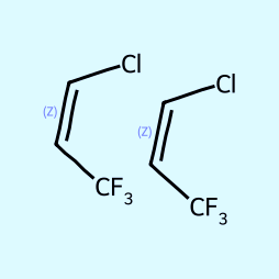 FC(F)(F)/C=C\Cl.FC(F)(F)/C=C\Cl